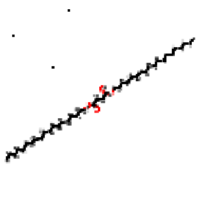 CCCCCCCCCCCCCCCCCCCOC(=O)C=CC(=O)OCCCCCCCCCCCCCCCCCCC